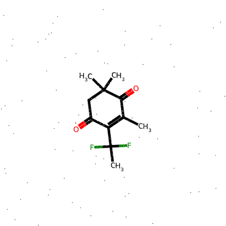 CC1=C(C(C)(F)F)C(=O)CC(C)(C)C1=O